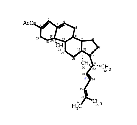 CC(=O)OC1=CC2=CCC3C4CCC([C@H](C)/C=C/C=C(C)C)[C@@]4(C)CCC3[C@@]2(C)CC1